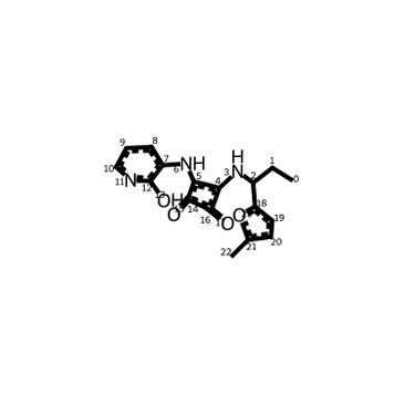 CCC(Nc1c(Nc2cccnc2O)c(=O)c1=O)c1ccc(C)o1